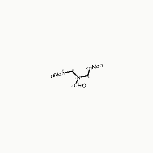 CCCCCCCCCCN([C]=O)CCCCCCCCCC